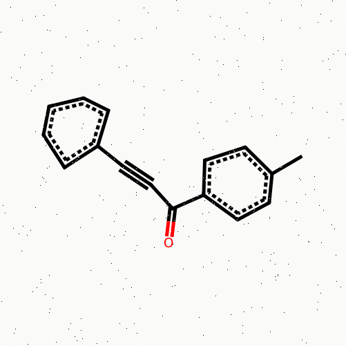 Cc1ccc(C(=O)C#Cc2ccccc2)cc1